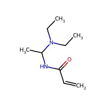 C=CC(=O)NC(C)N(CC)CC